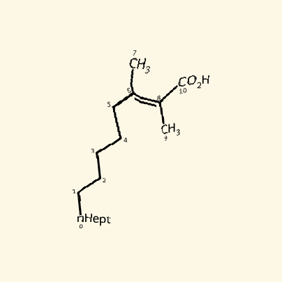 CCCCCCCCCCCCC(C)=C(C)C(=O)O